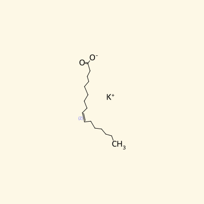 CCCCCC/C=C\CCCCCCCC(=O)[O-].[K+]